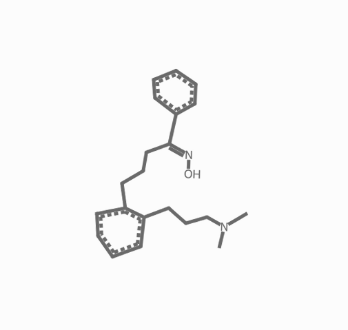 CN(C)CCCc1ccccc1CCCC(=NO)c1ccccc1